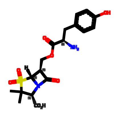 CC1(C)[C@H](C(=O)O)N2C(=O)[C@H](COC(=O)[C@@H](N)Cc3ccc(O)cc3)[C@H]2S1(=O)=O